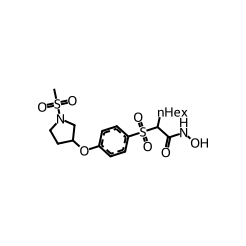 CCCCCCC(C(=O)NO)S(=O)(=O)c1ccc(OC2CCN(S(C)(=O)=O)C2)cc1